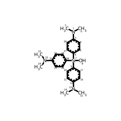 CN(C)c1ccc([Si](O)(c2ccc(N(C)C)cc2)c2ccc(N(C)C)cc2)cc1